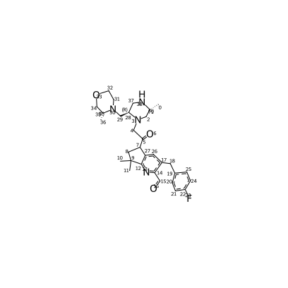 C[C@@H]1CN(CC(=O)C2CC(C)(C)c3nc(C=O)c(Cc4ccc(F)cc4)cc32)[C@@H](CN2CCOC[C@H]2C)CN1